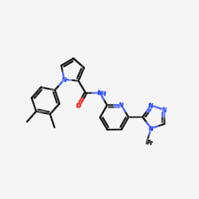 Cc1ccc(-n2cccc2C(=O)Nc2cccc(-c3nncn3C(C)C)n2)cc1C